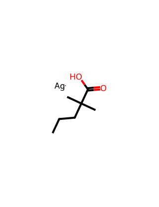 CCCC(C)(C)C(=O)O.[Ag]